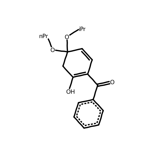 CCCOC1(OC(C)C)C=CC(C(=O)c2ccccc2)=C(O)C1